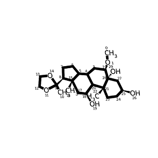 CO[C@@H]1CC2C3CC[C@H](C4(C)OCCO4)[C@@]3(C)C[C@H](O)C2[C@@]2(C)CC[C@H](O)C[C@]12O